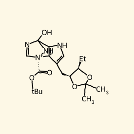 CC[C@H]1OC(C)(C)O[C@H]1Cc1c[nH]c2c1[N@@+]1(C(=O)OC(C)(C)C)C=NC2(O)N1